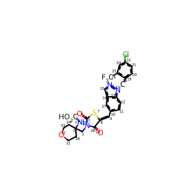 O=C(O)NC1(CN2C(=O)SC(=Cc3ccc4c(cnn4Cc4ccc(Cl)cc4C(F)(F)F)c3)C2=O)CCOCC1